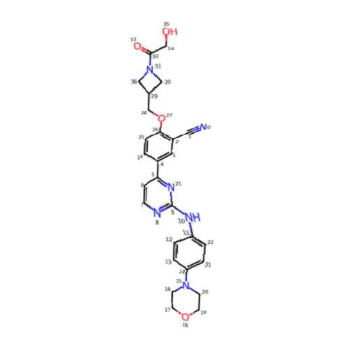 N#Cc1cc(-c2ccnc(Nc3ccc(N4CCOCC4)cc3)n2)ccc1OCC1CN(C(=O)CO)C1